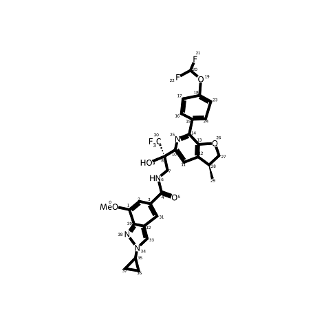 COc1cc(C(=O)NC[C@@](O)(c2cc3c(c(-c4ccc(OC(F)F)cc4)n2)OC[C@H]3C)C(F)(F)F)cc2cn(C3CC3)nc12